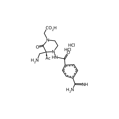 CC(=O)[C@@]1(CN)C(=O)N(CC(=O)O)CCN1NC(=O)c1ccc(C(=N)N)cc1.Cl.Cl